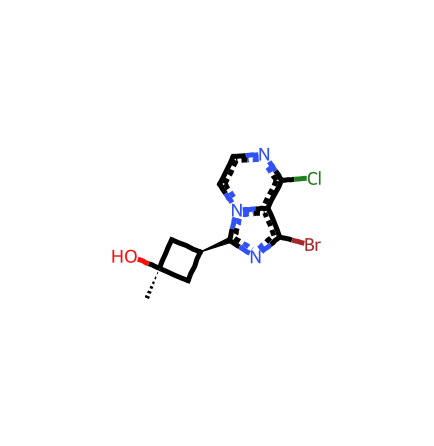 C[C@]1(O)C[C@@H](c2nc(Br)c3c(Cl)nccn32)C1